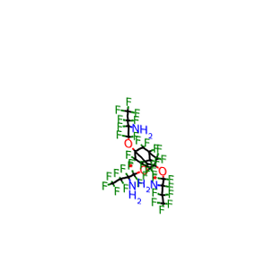 NC(F)(C(F)(F)OC12C(F)(F)C3(F)C(F)(F)C(OC(F)(F)C(N)(F)C(F)(F)C(F)(F)F)(C1(F)F)C(F)(F)C(OC(F)(F)C(N)(F)C(F)(F)C(F)(F)F)(C3(F)F)C2(F)F)C(F)(F)C(F)(F)F